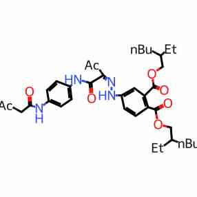 CCCCC(CC)COC(=O)c1ccc(N/N=C(/C(C)=O)C(=O)Nc2ccc(NC(=O)CC(C)=O)cc2)cc1C(=O)OCC(CC)CCCC